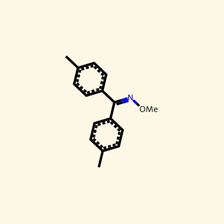 CON=C(c1ccc(C)cc1)c1ccc(C)cc1